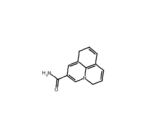 NC(=O)C1=CN2CC=CC3=C2C(=C1)CC=C3